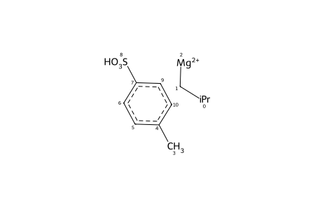 CC(C)[CH2][Mg+2].Cc1ccc(S(=O)(=O)O)cc1